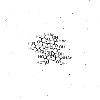 COC1[C@H](OCC2O[C@@H](O)C(NC(C)=O)[C@@H](O)[C@@H]2O[C@@H]2OC(CO)[C@@H](O[C@@H]3OC(CO)[C@@H](O[C@@H]4OC(CO)[C@@H](O[C@@H]5OC(CO)[C@@H](O)C(O)[C@@H]5N)C(O)[C@@H]4NC(C)=O)[C@H](O)C3NC(C)=O)[C@H](O)C2NC(C)=O)OC(C)[C@@H](O)[C@H]1O